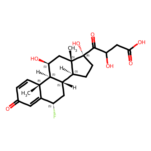 C[C@]12C=CC(=O)C=C1[C@@H](F)C[C@@H]1[C@@H]2[C@@H](O)C[C@@]2(C)[C@H]1CC[C@]2(O)C(=O)C(O)CC(=O)O